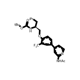 CC(=O)Nc1cc(-c2ccc(OC[C@H](CC(C)C)NC(=O)OC(C)(C)C)c(C(F)(F)F)c2)ccn1